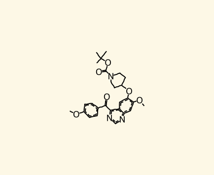 COc1ccc(C(=O)c2ncnc3cc(OC)c(OC4CCN(C(=O)OC(C)(C)C)CC4)cc23)cc1